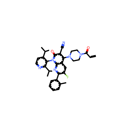 C=CC(=O)N1CCN(c2c(C#N)c(=O)n(-c3c(C(C)C)ccnc3C(C)C)c3nc(-c4ccccc4C)c(F)cc23)CC1